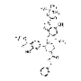 COC(=O)c1ccc(C2CN(C(=O)OCc3ccccc3)CCN2Cc2c(OC)cc(C)c3c2ccn3C(=O)OC(C)(C)C)cc1O